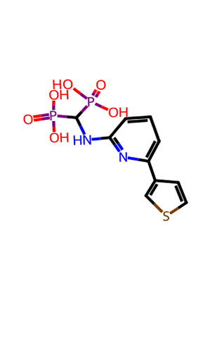 O=P(O)(O)C(Nc1cccc(-c2ccsc2)n1)P(=O)(O)O